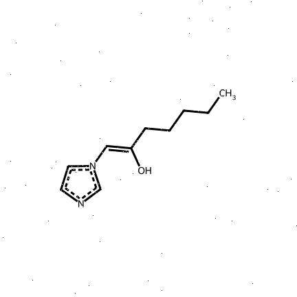 CCCCCC(O)=Cn1ccnc1